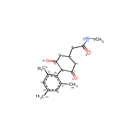 CNC(=O)CC1CC(=O)C(c2c(C)cc(C)cc2C)C(=O)C1